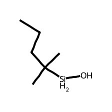 CCCC(C)(C)[SiH2]O